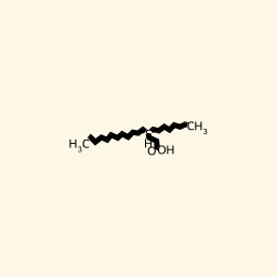 CCCCCCCCCCCC[SH](CCCCCCCC)CCC(=O)O